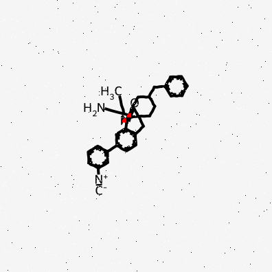 [C-]#[N+]c1cccc(-c2ccc3c(c2)C2(N=C(N)N(C)C2=O)C2(CCC(Cc4ccccc4)CC2)C3)c1